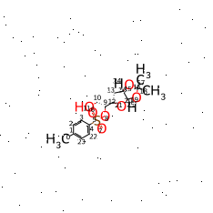 Cc1ccc(S(=O)(=O)O[C@H](CO)[C@@H]2C[C@H]3OC(C)(C)O[C@H]3O2)cc1